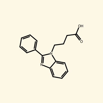 O=C(O)CCCn1c(-c2ccccc2)nc2ccccc21